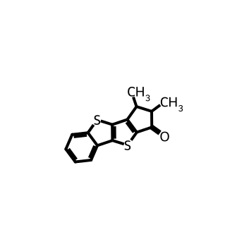 CC1C(=O)c2sc3c(sc4ccccc43)c2C1C